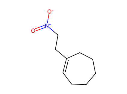 O=[N+]([O-])CCC1=CCCCCC1